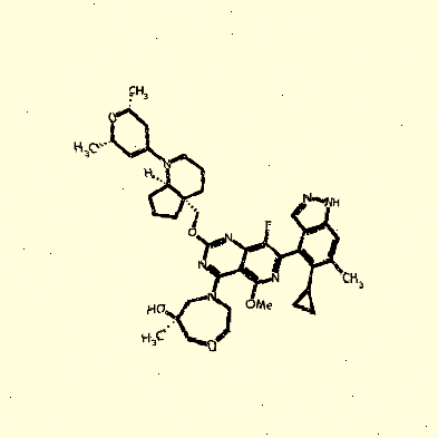 COc1nc(-c2c(C3CC3)c(C)cc3[nH]ncc23)c(F)c2nc(OC[C@]34CCC[C@H]3N(C3C[C@@H](C)O[C@@H](C)C3)CCC4)nc(N3CCOC[C@@](C)(O)C3)c12